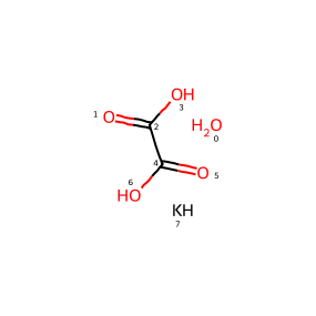 O.O=C(O)C(=O)O.[KH]